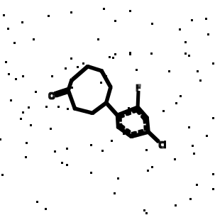 O=C1CCCCC(c2ccc(Cl)cc2F)CC1